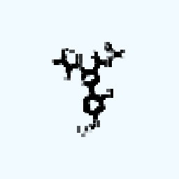 CC(O)C(=O)Nc1sc(-c2ccc(OC(F)(F)F)cc2Cl)cc1C(=O)N=S(=O)=O